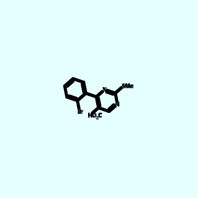 CSc1ncc(C(=O)O)c(-c2ccccc2Br)n1